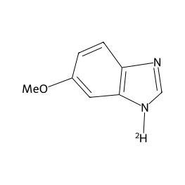 [2H]n1cnc2ccc(OC)cc21